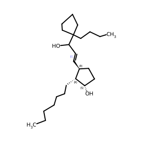 CCCCCCC[C@H]1[C@@H](O)CC[C@@H]1/C=C/C(O)C1(CCCC)CCCC1